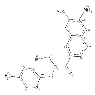 Cc1cc2cc(C(=O)N(Cc3ccc(C(F)(F)F)cn3)CC(C)C)ccc2nc1N